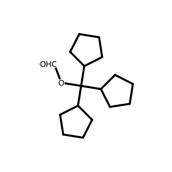 O=[C]OC(C1CCCC1)(C1CCCC1)C1CCCC1